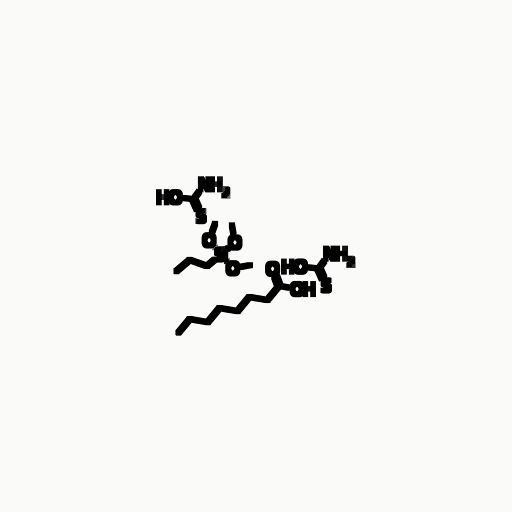 CCCCCCCC(=O)O.CCC[Si](OC)(OC)OC.NC(O)=S.NC(O)=S